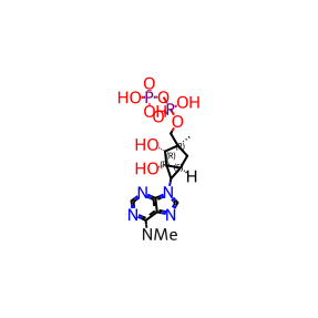 CNc1ncnc2c1ncn2C1[C@@H]2C[C@](C)(COP(=O)(O)OP(=O)(O)O)[C@@H](O)[C@]12O